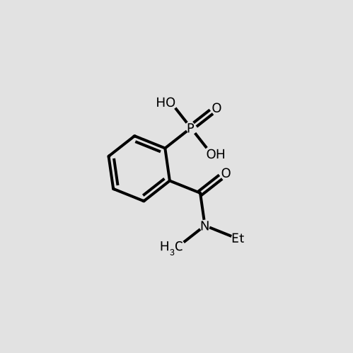 CCN(C)C(=O)c1ccccc1P(=O)(O)O